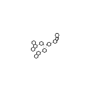 c1cc(-c2ccc3ccccc3c2)cc(N(c2ccc(-c3ccc4oc5ccccc5c4c3)cc2)c2cccc(-c3cc4ccccc4c4ccccc34)c2)c1